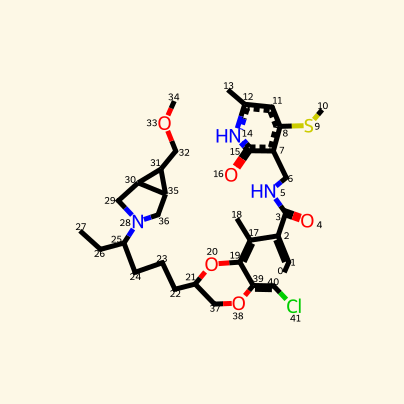 C\C=C(C(=O)NCc1c(SC)cc(C)[nH]c1=O)/C(C)=C1/OC(CCCC(CC)N2CC3C(COC)C3C2)CO/C1=C\Cl